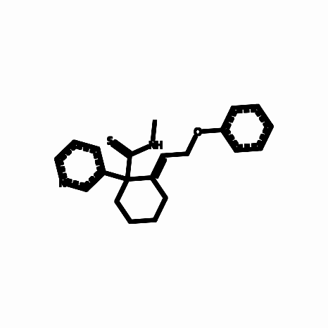 CNC(=S)C1(c2cccnc2)CCCCC1=CCOc1ccccc1